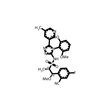 COc1cccc(OC)c1-n1c(NS(=O)(=O)[C@H](C)[C@H](OC)c2ccc(F)cc2C#N)nnc1-c1cncc(C)c1